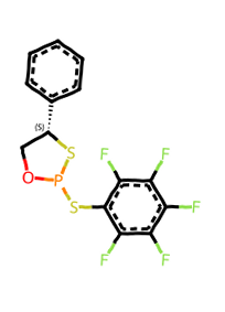 Fc1c(F)c(F)c(SP2OC[C@H](c3ccccc3)S2)c(F)c1F